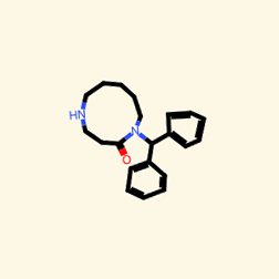 O=C1CCNCCCCCN1C(c1ccccc1)c1ccccc1